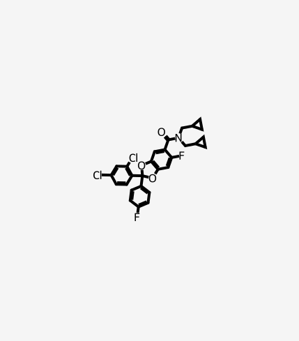 O=C(c1cc2c(cc1F)OC(c1ccc(F)cc1)(c1ccc(Cl)cc1Cl)O2)N(CC1CC1)CC1CC1